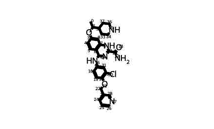 CC(Oc1[c]cc2c(c1)NC(C(N)=O)=NC2Nc1ccc(OCc2cccnc2)c(Cl)c1)C1CCNCC1